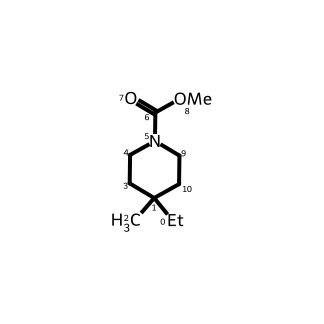 CCC1(C)CCN(C(=O)OC)CC1